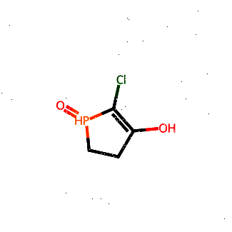 O=[PH]1CCC(O)=C1Cl